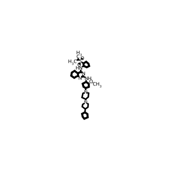 COc1cc(N2CCC(N3CCC(c4ccccc4)CC3)CC2)ccc1Nc1nc(Nc2ccccc2S(=O)(=O)C(C)C)c2ccccc2n1